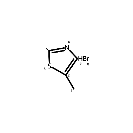 Br.Cc1cncs1